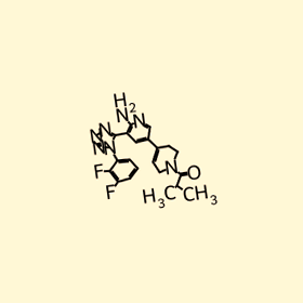 CC(C)C(=O)N1CC=C(c2cnc(N)c(-c3nnnn3-c3cccc(F)c3F)c2)CC1